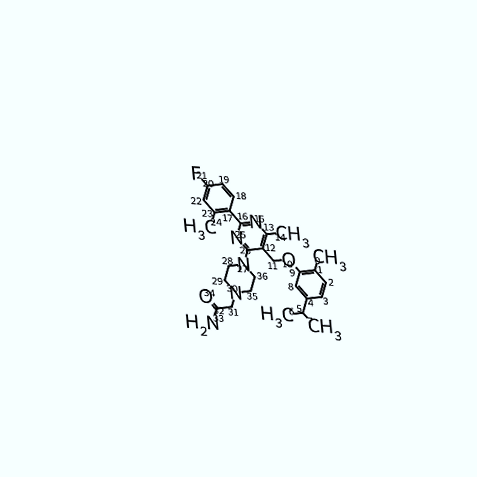 Cc1ccc(C(C)C)cc1OCc1c(C)nc(-c2ccc(F)cc2C)nc1N1CCN(CC(N)=O)CC1